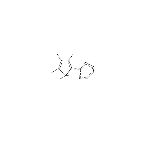 CC1=C(C)C(C)(C)C(c2[c]cccc2)=C1C